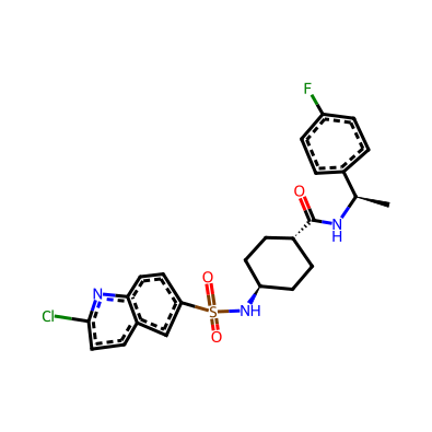 C[C@@H](NC(=O)[C@H]1CC[C@H](NS(=O)(=O)c2ccc3nc(Cl)ccc3c2)CC1)c1ccc(F)cc1